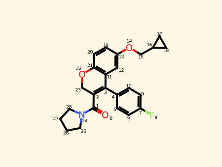 O=C(C1=C(c2ccc(F)cc2)c2cc(OCC3CC3)ccc2OC1)N1CCCC1